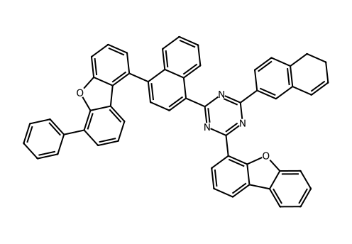 C1=Cc2cc(-c3nc(-c4ccc(-c5cccc6oc7c(-c8ccccc8)cccc7c56)c5ccccc45)nc(-c4cccc5c4oc4ccccc45)n3)ccc2CC1